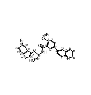 CCCOc1ccc(-c2ccc3ncccc3c2)cc1C(=O)NC(CO)Cc1c[nH]c2ccc(F)cc12